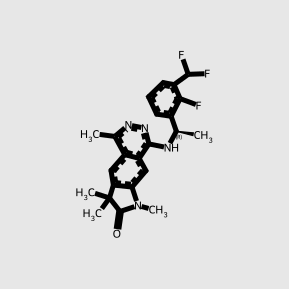 Cc1nnc(N[C@H](C)c2cccc(C(F)F)c2F)c2cc3c(cc12)C(C)(C)C(=O)N3C